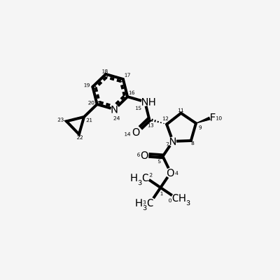 CC(C)(C)OC(=O)N1C[C@H](F)C[C@H]1C(=O)Nc1cccc(C2CC2)n1